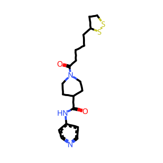 O=C(Nc1ccncc1)C1CCN(C(=O)CCCCC2CCSS2)CC1